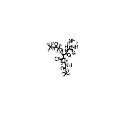 CC(C)(C)OC(=O)Nc1nc(/C(=N/OC(C)(C)C(=O)OC(C)(C)C)C(=O)N[C@@H]2C(=O)N[C@H]2CN)c(Cl)s1